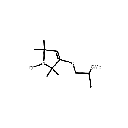 CCC(COC1=CC(C)(C)N(O)C1(C)C)OC